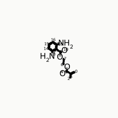 C=C(C)C(=O)OCCOC(=O)c1c(N)cccc1N